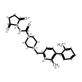 Cc1ccccc1-c1ccc(CN2CCN(C(=O)ON3C(=O)CCC3=O)CC2)nc1C